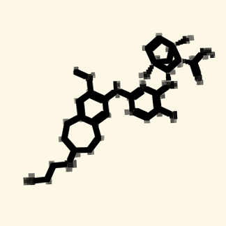 COc1cc2c(cc1Nc1ncc(Cl)c(N[C@H]3[C@@H](C(N)=O)[C@@H]4C=C[C@H]3C4)n1)CCC(NCCO)CC2